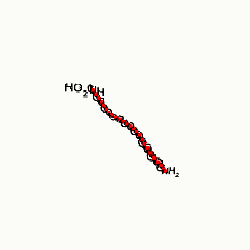 NCCOCCOCCOCCOCCOCCOCCOCCOCCOCCOCCOCCOCCOCCOCCOCCNC(=O)O